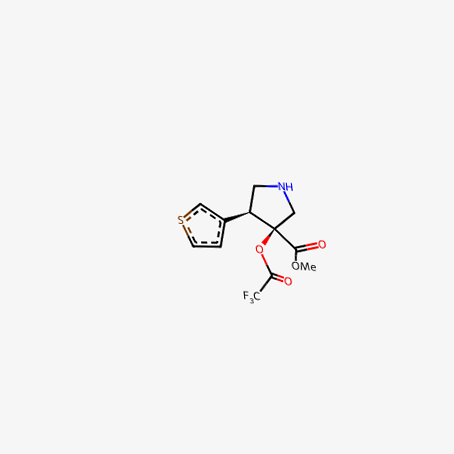 COC(=O)[C@@]1(OC(=O)C(F)(F)F)CNC[C@@H]1c1ccsc1